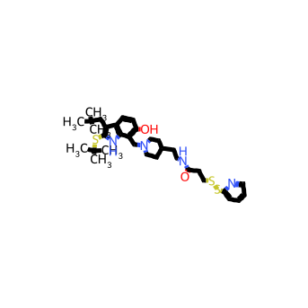 CC(C)(C)Cc1c(SC(C)(C)C)[nH]c2c(CN3CCC(CCNC(=O)CCSSc4ccccn4)CC3)c(O)ccc12